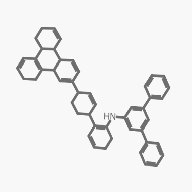 C1=CC(C2C=CC(C3=CC4C5=C(C=CCC5)C5CCC=CC5C4C=C3)CC2)=C(Nc2cc(-c3ccccc3)cc(-c3ccccc3)c2)CC1